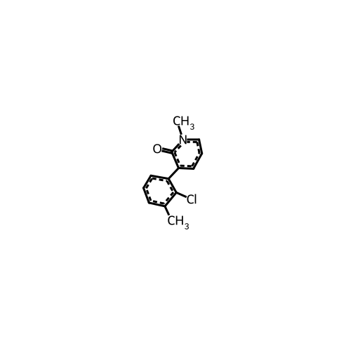 Cc1cccc(-c2cccn(C)c2=O)c1Cl